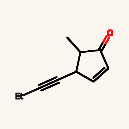 CCC#CC1C=CC(=O)C1C